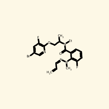 C=C/C=N\N(C)c1c(F)cccc1C(=O)N(CC)C(C)COc1ncc(Br)cc1F